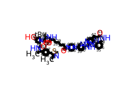 Cc1ncsc1-c1ccc(C(C)NC(=O)[C@@H]2C[C@@H](O)CN2C(=O)C(NC(=O)CCCCCC(=O)N2CCN(c3ccc(Nc4ncc5cc6n(c5n4)C4(CCCCC4)CNC6=O)nc3)CC2)C(C)(C)C)cc1